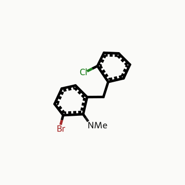 CNc1c(Br)cccc1Cc1ccccc1Cl